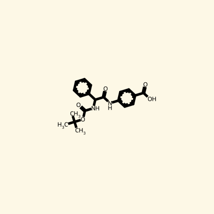 CC(C)(C)OC(=O)NC(C(=O)Nc1ccc(C(=O)O)cc1)c1ccccc1